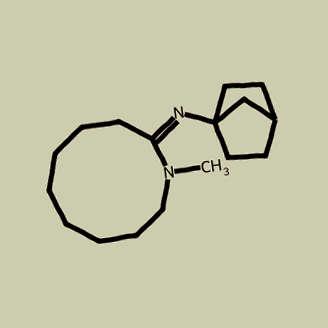 CN1CCCCCCCCC1=NC12CCC(CC1)C2